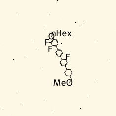 CCCCCCOc1ccc(-c2ccc(-c3ccc(C4CCC(COC)CC4)cc3F)cc2)c(F)c1F